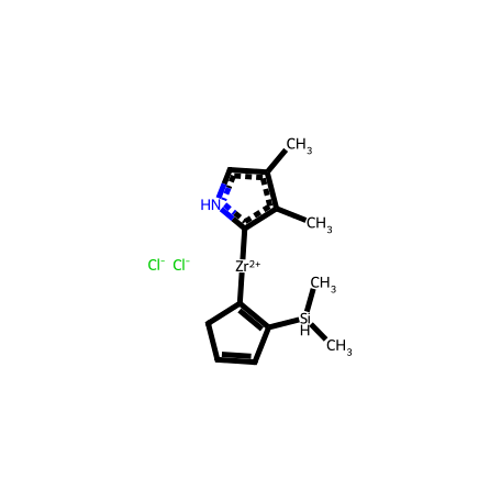 Cc1c[nH][c]([Zr+2][C]2=C([SiH](C)C)C=CC2)c1C.[Cl-].[Cl-]